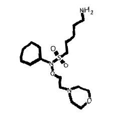 NCCCCCS(=O)(=O)N(OCCN1CCOCC1)C1CCCCC1